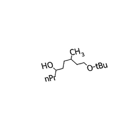 CCCC(O)CCC(C)CCOC(C)(C)C